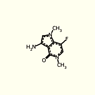 Cn1cc(F)c2c(c(N)cn2C)c1=O